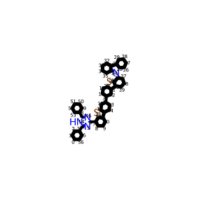 c1ccc(C2=NC(c3cccc4c3sc3cc(-c5ccc6sc7c(-n8c9ccccc9c9ccccc98)cccc7c6c5)ccc34)=NC(c3ccccc3)N2)cc1